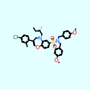 CC[C@H](C)CN1CC(c2ccc(Cl)cc2C)=COc2ccc(S(=O)(=O)N(Cc3ccc(OC)cc3)Cc3ccc(OC)cc3)cc21